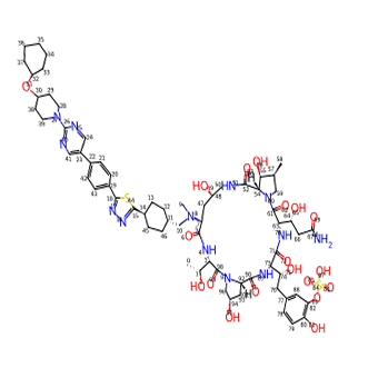 C[C@@H](O)[C@@H]1NC(=O)[C@@H](N(C)C[C@H]2CC[C@H](c3nnc(-c4ccc(-c5cnc(N6CCC(OC7CCCCC7)CC6)nc5)cc4)s3)CC2)C[C@@H](O)CNC(=O)[C@@H]2[C@@H](O)[C@@H](C)CN2C(=O)[C@H]([C@H](O)CC(N)=O)NC(=O)[C@H]([C@H](O)Cc2ccc(O)c(OS(=O)(=O)O)c2)NC(=O)[C@@H]2C[C@@H](O)CN2C1=O